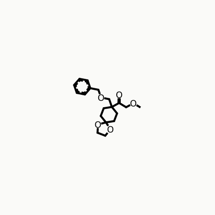 COCC(=O)C1(COCc2ccccc2)CCC2(CC1)OCCO2